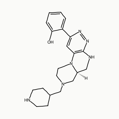 Oc1ccccc1-c1cc2c(nn1)NC[C@H]1CN(CC3CCNCC3)CCN21